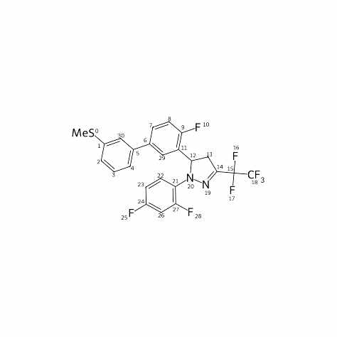 CSc1cccc(-c2ccc(F)c(C3CC(C(F)(F)C(F)(F)F)=NN3c3ccc(F)cc3F)c2)c1